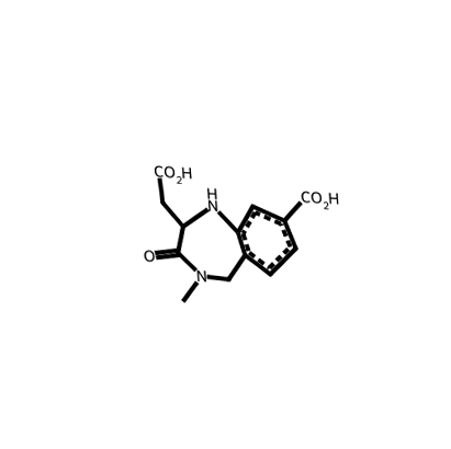 CN1Cc2ccc(C(=O)O)cc2NC(CC(=O)O)C1=O